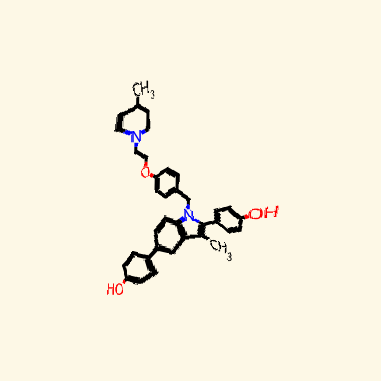 Cc1c(-c2ccc(O)cc2)n(Cc2ccc(OCCN3CCC(C)CC3)cc2)c2ccc(-c3ccc(O)cc3)cc12